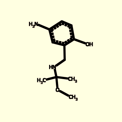 COC(C)(C)NCc1cc(N)ccc1O